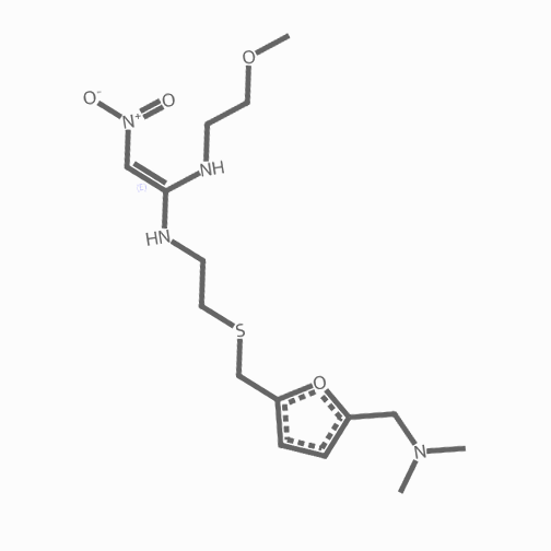 COCCN/C(=C\[N+](=O)[O-])NCCSCc1ccc(CN(C)C)o1